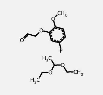 CCOC(C)OCC.COc1ccc(F)cc1OCC=O